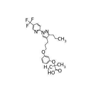 CCCc1nn(-c2ccc(C(F)(F)F)cn2)cc1CCCOc1cccc(OC(C)(C)C(=O)O)c1